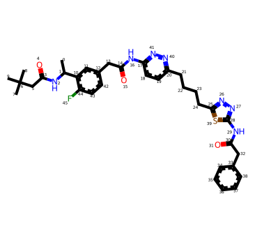 CC(NC(=O)CC(C)(C)C)c1cc(CC(=O)Nc2ccc(CCCCc3nnc(NC(=O)Cc4ccccc4)s3)nn2)ccc1F